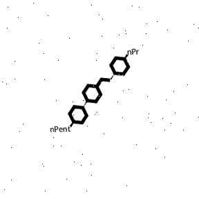 CCCCC[C@H]1CC[C@H](C2CCC(CC[C@H]3CC[C@H](CCC)CC3)CC2)CC1